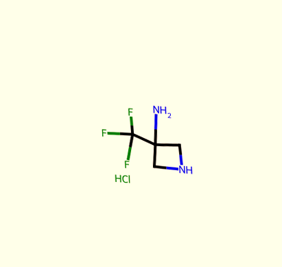 Cl.NC1(C(F)(F)F)CNC1